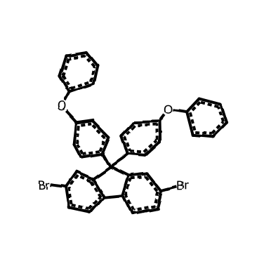 Brc1ccc2c(c1)C(c1ccc(Oc3ccccc3)cc1)(c1ccc(Oc3ccccc3)cc1)c1cc(Br)ccc1-2